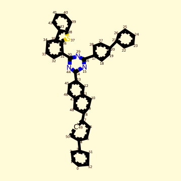 c1ccc(-c2ccc(-c3ccc4cc(-c5nc(-c6ccc(-c7ccccc7)cc6)nc(-c6cccc7c6sc6ccccc67)n5)ccc4c3)cc2)cc1